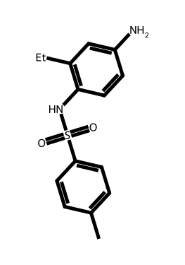 CCc1cc(N)ccc1NS(=O)(=O)c1ccc(C)cc1